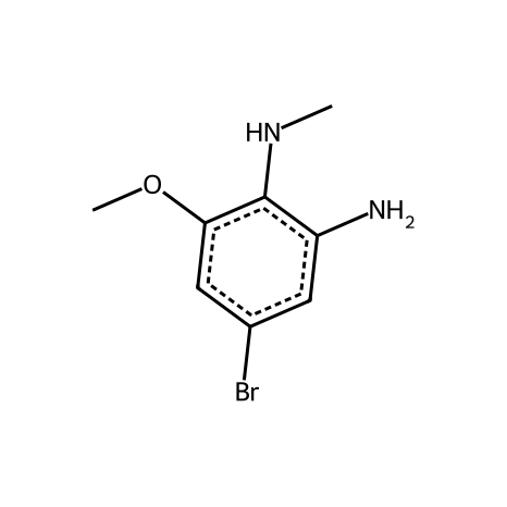 CNc1c(N)cc(Br)cc1OC